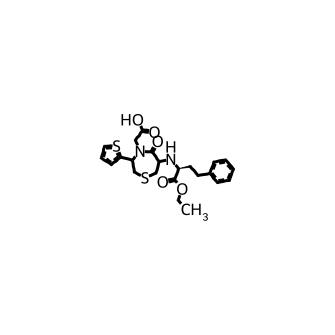 CCOC(=O)[C@H](CCc1ccccc1)NC1CSCC(c2cccs2)N(CC(=O)O)C1=O